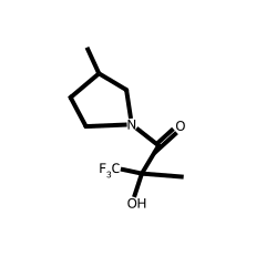 CC1CCN(C(=O)C(C)(O)C(F)(F)F)C1